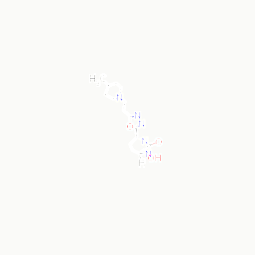 CC1CCN(CCc2nnc([C@@H]3CC[C@@H]4CN3C(=O)N4O)o2)CC1